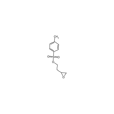 Cc1ccc(S(=O)(=O)OCCC2CO2)cc1